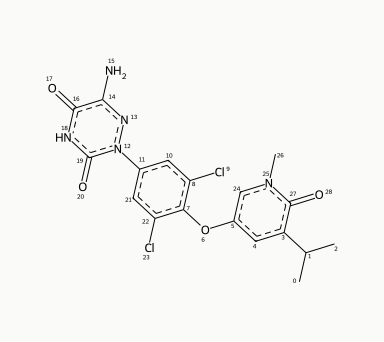 CC(C)c1cc(Oc2c(Cl)cc(-n3nc(N)c(=O)[nH]c3=O)cc2Cl)cn(C)c1=O